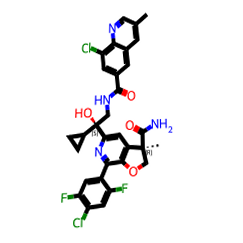 Cc1cnc2c(Cl)cc(C(=O)NC[C@](O)(c3cc4c(c(-c5cc(F)c(Cl)cc5F)n3)OC[C@]4(C)C(N)=O)C3CC3)cc2c1